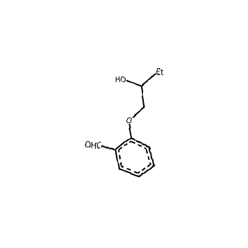 CCC(O)COc1ccccc1C=O